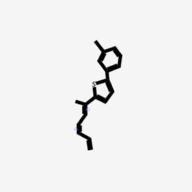 C=C/C=C\C=C(/C)c1ccc(-c2cccc(C)c2)s1